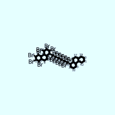 Brc1c(Br)c(Br)c2c(ccc3c(C(Br)(Br)C(Br)(Br)C(Br)(Br)C(Br)(Br)C(Br)(Br)C(Br)(Br)c4cccc5c4ccc4ccccc45)c(Br)c(Br)c(Br)c32)c1Br